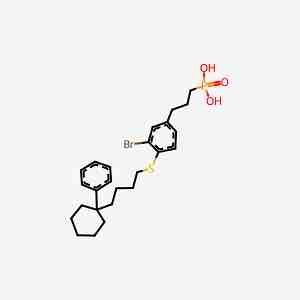 O=P(O)(O)CCCc1ccc(SCCCCC2(c3ccccc3)CCCCC2)c(Br)c1